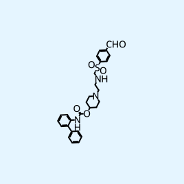 O=Cc1ccc(S(=O)(=O)CNCCN2CCC(OC(=O)Nc3ccccc3-c3ccccc3)CC2)cc1